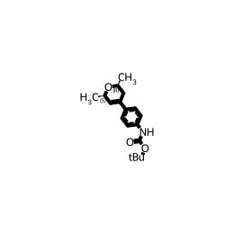 C[C@@H]1CC(c2ccc(NC(=O)OC(C)(C)C)cc2)=C[C@H](C)O1